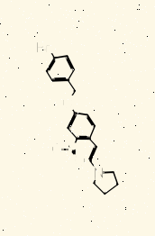 O=[N+]([O-])c1cc(OCc2ccc(Br)cc2)ccc1C=CN1CCCC1